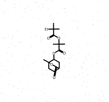 CCC(C)(C)C(=O)OC(C)(C)C(=O)OC1CC2CCC1(C)OC2=O